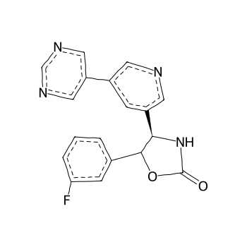 O=C1N[C@H](c2cncc(-c3cncnc3)c2)C(c2cccc(F)c2)O1